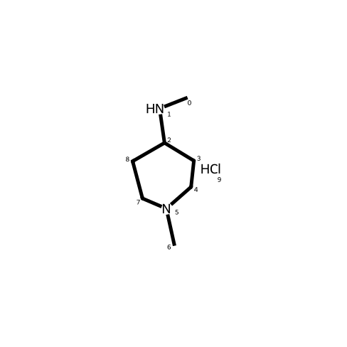 CNC1CCN(C)CC1.Cl